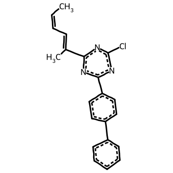 C/C=C\C=C(/C)c1nc(Cl)nc(-c2ccc(-c3ccccc3)cc2)n1